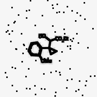 CCOC(=O)C(O)C1(c2ccccc2OC)CC1